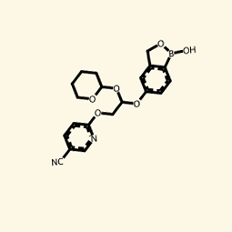 N#Cc1ccc(OCC(Oc2ccc3c(c2)COB3O)OC2CCCCO2)nc1